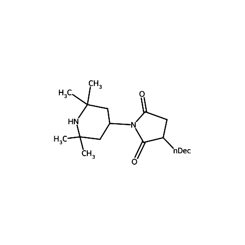 CCCCCCCCCCC1CC(=O)N(C2CC(C)(C)NC(C)(C)C2)C1=O